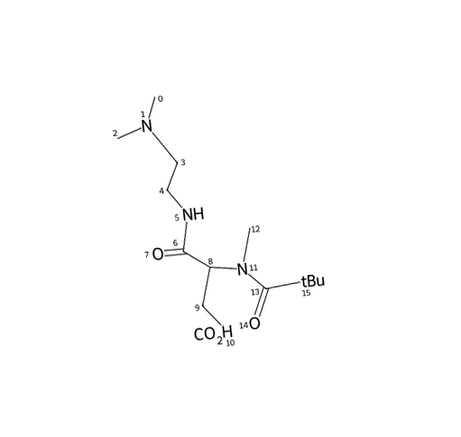 CN(C)CCNC(=O)C(CC(=O)O)N(C)C(=O)C(C)(C)C